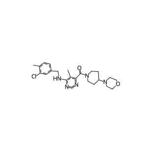 Cc1ccc(CNc2ncnc(C(=O)N3CCC(N4CCOCC4)CC3)c2C)cc1Cl